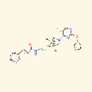 O=C(/C=C/c1cccnc1)NCC[C@@H]1[C@H]2CN(c3nc(OC4CCCC4)ncc3F)C[C@@H]12